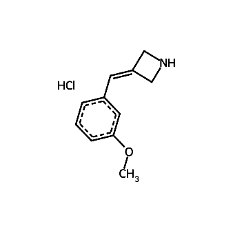 COc1cccc(C=C2CNC2)c1.Cl